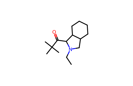 CCN1CC2CCCCC2C1C(=O)C(C)(C)C